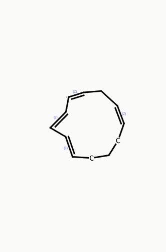 [C]1=C\C/C=C\CCC/C=C/C=C/1